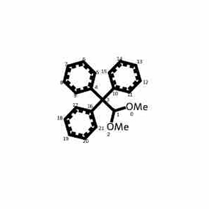 CO[C](OC)C(c1ccccc1)(c1ccccc1)c1ccccc1